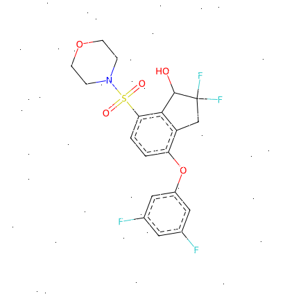 O=S(=O)(c1ccc(Oc2cc(F)cc(F)c2)c2c1C(O)C(F)(F)C2)N1CCOCC1